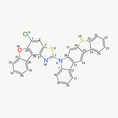 Clc1cc2sc(-n3c4ccccc4c4cc5c(cc43)sc3ccccc35)nc2c2c1oc1ccccc12